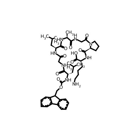 CC(C)C[C@H](NC(=O)CNC(=O)[C@H](CC(C)C)NC(=O)OCC1c2ccccc2-c2ccccc21)C(=O)N[C@@H](C)C(=O)NCC(=O)N1CCC[C@H]1C(=O)N[C@@H](CCCCN)C(=O)O